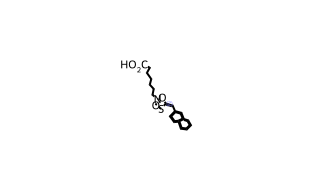 O=C(O)CCCCCCN1OS/C(=C\c2ccc3ccccc3c2)O1